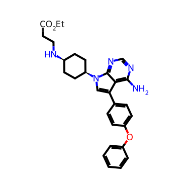 CCOC(=O)CCN[C@H]1CC[C@@H](n2cc(-c3ccc(Oc4ccccc4)cc3)c3c(N)ncnc32)CC1